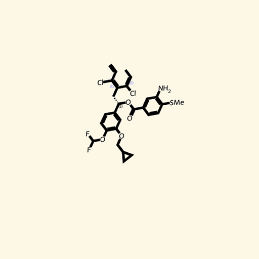 C=C/C(Cl)=C(C[C@H](OC(=O)c1ccc(SC)c(N)c1)c1ccc(OC(F)F)c(OCC2CC2)c1)\C(Cl)=C/C